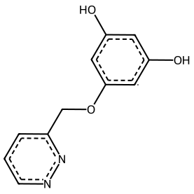 Oc1[c]c(OCc2cccnn2)cc(O)c1